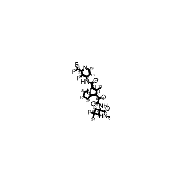 CNC(=O)C1(NC(=O)C(=O)c2c(C)c(C(=O)Nc3ccnc(C(F)F)c3F)n3c2CCC3)CC(C)(F)C1